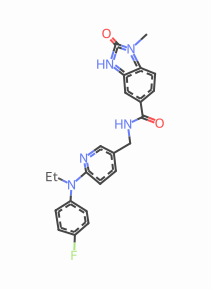 CCN(c1ccc(F)cc1)c1ccc(CNC(=O)c2ccc3c(c2)[nH]c(=O)n3C)cn1